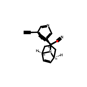 C#Cc1cncc([C@]2(C#N)C[C@H]3C=C[C@@H](C2)N3C(C)C#C)c1